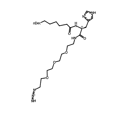 CCCCCCCCCCCCCCCC(=O)N[C@@H](Cc1c[nH]cn1)C(=O)NCCOCCOCCOCCN=[N+]=N